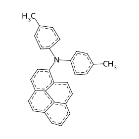 Cc1ccc(N(c2ccc(C)cc2)c2ccc3ccc4cccc5ccc2c3c45)cc1